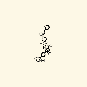 O=C(CCc1ccccc1)N1CCC(O)(Cn2cnc3c(cc(Cl)n3-c3ccc(C4COCCN4)cc3)c2=O)CC1